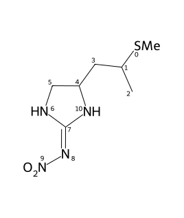 CSC(C)CC1CNC(=N[N+](=O)[O-])N1